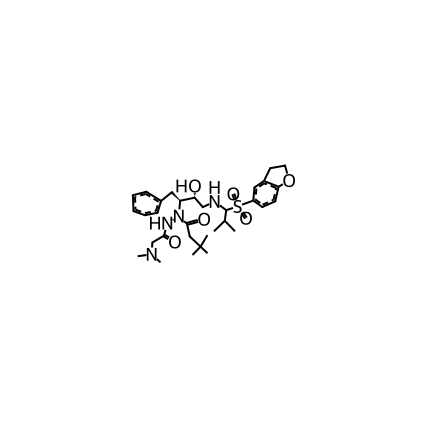 CC(C)C(NC[C@@H](O)[C@H](Cc1ccccc1)N(NC(=O)CN(C)C)C(=O)CC(C)(C)C)S(=O)(=O)c1ccc2c(c1)CCO2